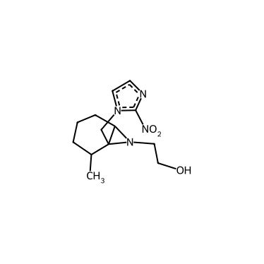 CC1CCCC2N(CCO)C12Cn1ccnc1[N+](=O)[O-]